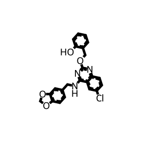 Oc1ccccc1COc1nc(NCc2ccc3c(c2)OCO3)c2cc(Cl)ccc2n1